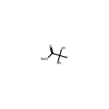 CCCC(F)(CCC)C(=O)OC